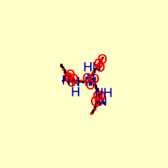 CCCCCCC(C)(C)C(=O)OCC(CN1CC1C)OC(=O)NCCCCCCn1c(=O)n(CCCCCCNC(=O)OCCOC)c(=O)n(CCCCCCNC(=O)OC(COC(=O)C(C)(C)CCCCCC)CN2CC2C)c1=O